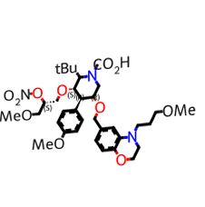 COCCCN1CCOc2ccc(CO[C@H]3CN(C(=O)O)C(C(C)(C)C)[C@@H](OC[C@H](COC)O[N+](=O)[O-])[C@@H]3c3ccc(OC)cc3)cc21